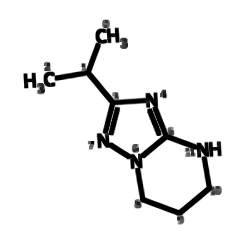 CC(C)c1nc2n(n1)CCCN2